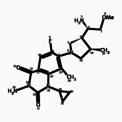 COC[C@@H](N)[C@H]1CN(c2c(F)cc3c(=O)n(N)c(=O)n(C4CC4)c3c2C)C[C@@H]1C